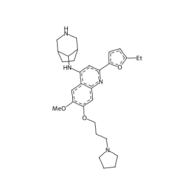 CCc1ccc(-c2cc(NC3C4CCC3CNC4)c3cc(OC)c(OCCCN4CCCC4)cc3n2)o1